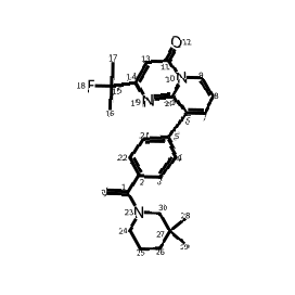 C=C(c1ccc(-c2cccn3c(=O)cc(C(C)(C)F)nc23)cc1)N1CCCC(C)(C)C1